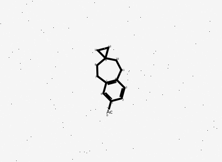 CC(=O)c1ccc2c(c1)CCC1(CC2)CC1